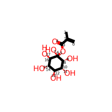 C=C(C)C(=O)O[C@]1(O)[C@H](O)[C@H](O)[C@@H](O)[C@H](O)[C@H]1O